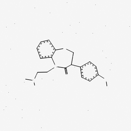 COc1ccc(C2CSc3ccccc3N(CCN(C)C)C2=O)cc1